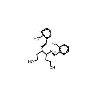 OCCC(/N=C/c1ccccc1O)C(CCO)/N=C/c1ccccc1O